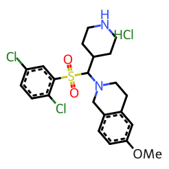 COc1ccc2c(c1)CCN(C(C1CCNCC1)S(=O)(=O)c1cc(Cl)ccc1Cl)C2.Cl